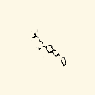 O=CN(CCCC(=O)O)c1ncc2oc([SH]3C=CC=C3)cc2c1O